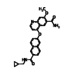 COc1cc2nccc(Oc3ccc4cc(C(=O)NCC5CC5)ccc4c3)c2cc1C(N)=O